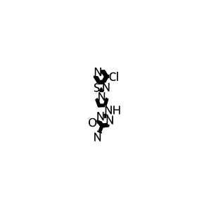 COc1nc(NC2CCN(c3nc4c(Cl)cncc4s3)C2)ncc1C#N